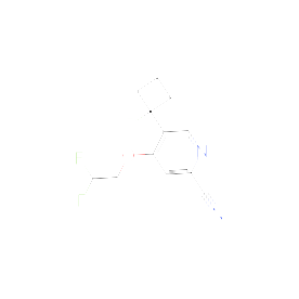 N#Cc1cc(OCC(F)F)c(C2(F)CCC2)cn1